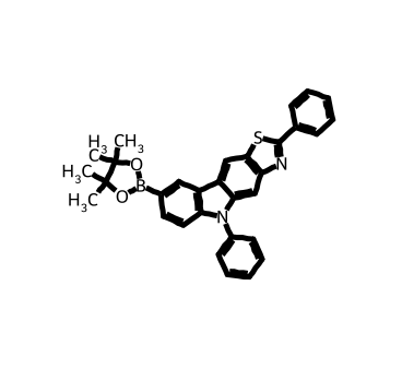 CC1(C)OB(c2ccc3c(c2)c2cc4sc(-c5ccccc5)nc4cc2n3-c2ccccc2)OC1(C)C